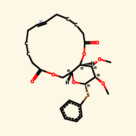 CO[C@@H]1[C@@H](OC)[C@H](Sc2ccccc2)O[C@@H]2COC(=O)CCCC/C=C/CCCCC(=O)O[C@@H]12